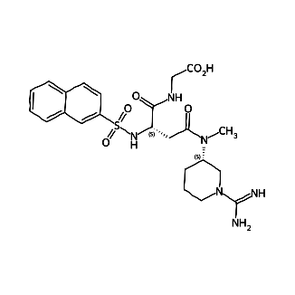 CN(C(=O)C[C@H](NS(=O)(=O)c1ccc2ccccc2c1)C(=O)NCC(=O)O)[C@H]1CCCN(C(=N)N)C1